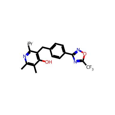 Cc1nc(C(C)C)c(Cc2ccc(-c3noc(C(F)(F)F)n3)cc2)c(O)c1C